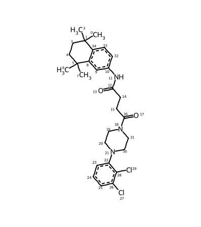 CC1(C)CCC(C)(C)c2cc(NC(=O)CCC(=O)N3CCN(c4cccc(Cl)c4Cl)CC3)ccc21